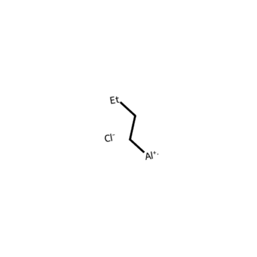 CCC[CH2][Al+].[Cl-]